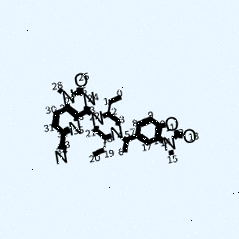 CC[C@H]1CN(C(C)c2ccc3oc(=O)n(C)c3c2)[C@H](CC)CN1c1nc(=O)n(C)c2ccc(C#N)nc12